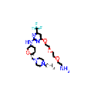 CN1CCN(C[C@H]2CC[C@H](Nc3nc(OCCOCCOCCN)cc(C(F)(F)F)n3)CO2)CC1